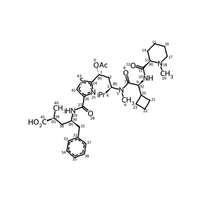 CC(=O)O[C@H](C[C@H](C(C)C)N(C)C(=O)[C@@H](NC(=O)[C@H]1CCCCN1C)C1CCC1)c1nc(C(=O)N[C@@H](Cc2ccccc2)C[C@H](C)C(=O)O)cs1